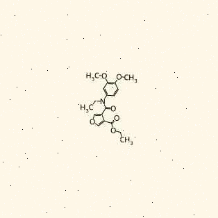 CCOC(=O)c1cocc1C(=O)N(CC)c1ccc(OC)c(OC)c1